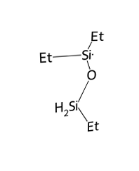 CC[SiH2]O[Si](CC)CC